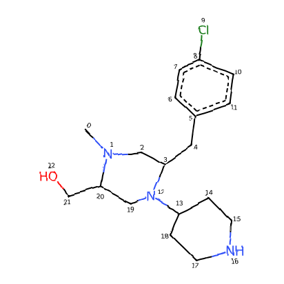 CN1CC(Cc2ccc(Cl)cc2)N(C2CCNCC2)CC1CO